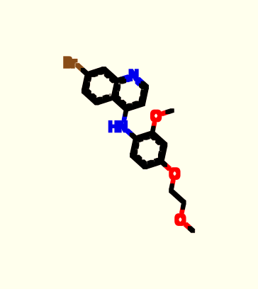 COCCOc1ccc(Nc2ccnc3cc(Br)ccc23)c(OC)c1